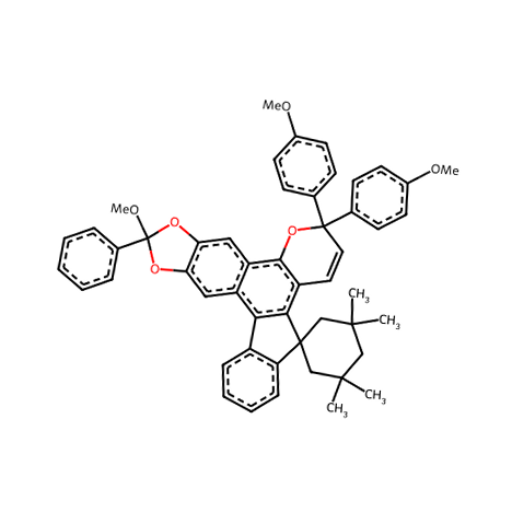 COc1ccc(C2(c3ccc(OC)cc3)C=Cc3c4c(c5cc6c(cc5c3O2)OC(OC)(c2ccccc2)O6)-c2ccccc2C42CC(C)(C)CC(C)(C)C2)cc1